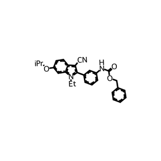 CCn1c(-c2cccc(NC(=O)OCc3ccccc3)c2)c(C#N)c2ccc(OC(C)C)cc21